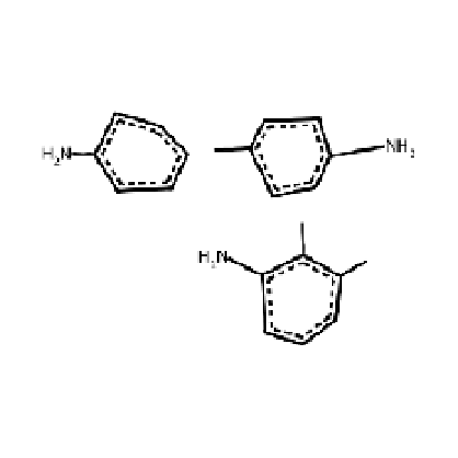 Cc1ccc(N)cc1.Cc1cccc(N)c1C.Nc1ccccc1